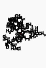 CC[C@]1(O)C[C@H]2C[N@](CCc3c([nH]c4ccccc34)[C@@](C(=O)OC)(c3cc4c(cc3OC)N(C)[C@H]3[C@@](O)(C(N)=O)[C@H](O)[C@]5(CC)C=CCN6CC[C@]43[C@@H]65)C2)C1.O=NN(CCCl)C(=O)NCCCl